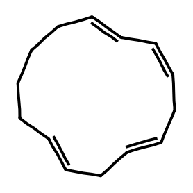 C1=C\C/C=C/C/C=C/CCCC/C=C/1